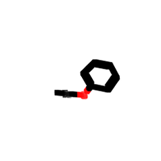 [CH3][Fe][O]c1ccccc1